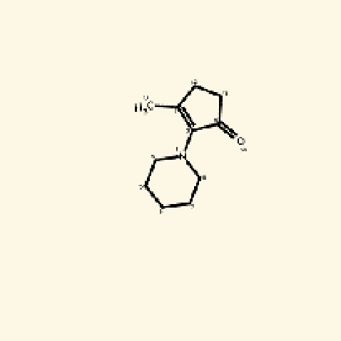 CC1=C(N2CCCCC2)C(=O)CC1